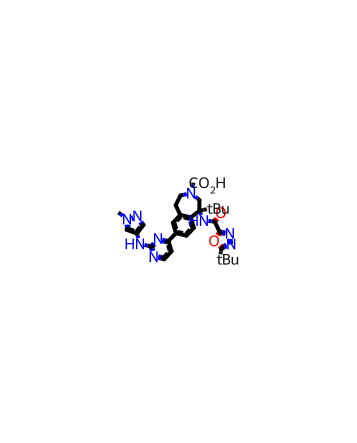 Cn1cc(Nc2nccc(-c3ccc4c(c3)CCN(C(=O)O)CC4(NC(=O)c3nnc(C(C)(C)C)o3)C(C)(C)C)n2)cn1